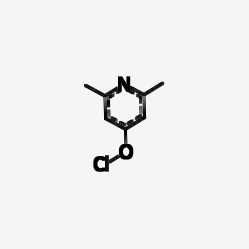 Cc1cc(OCl)cc(C)n1